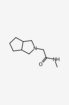 CNC(=O)CN1CC2CCCC2C1